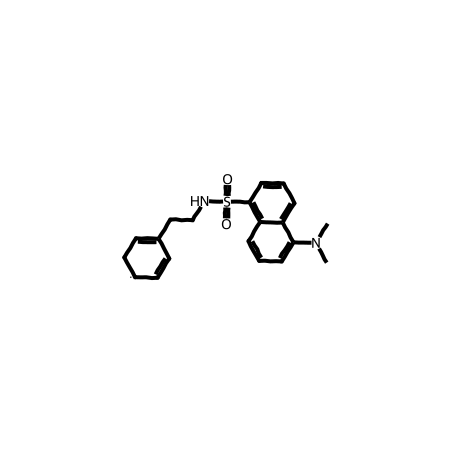 CN(C)c1cccc2c(S(=O)(=O)NCCC3=CC[CH]C=C3)cccc12